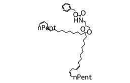 CCCCC/C=C\C/C=C\CCCCCCCCC1(CCCCCCCC/C=C\C/C=C\CCCCC)OC[C@H](CNC(=O)OCc2ccccc2)O1